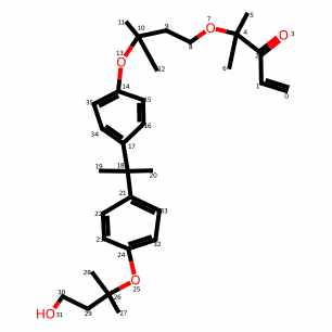 C=CC(=O)C(C)(C)OCCC(C)(C)Oc1ccc(C(C)(C)c2ccc(OC(C)(C)CCO)cc2)cc1